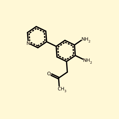 CC(=O)Cc1cc(-c2cccnc2)cc(N)c1N